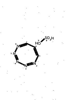 C1=CN=NN=NN=C1.O=S(=O)(O)O